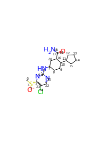 C[S+]([O-])c1nc(NC2CCC(C3CCCC3)C(C(N)=O)C2)ncc1Cl